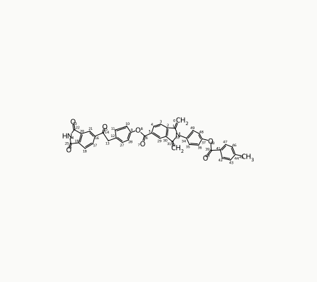 C=c1c2ccc(C(=O)Oc3ccc(CC(=O)c4ccc5c(c4)C(=O)NC5=O)cc3)cc2c(=C)n1-c1ccc(OC(=O)c2ccc(C)cc2)cc1